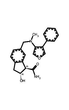 CN(Cc1ccc2c(c1)[C@@H](C(N)=O)[C@H](O)C2)c1cocc1-c1ccccc1